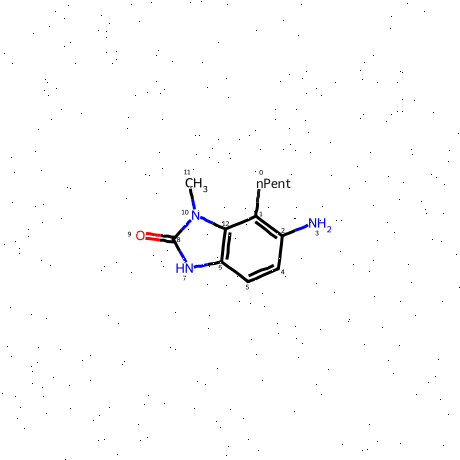 CCCCCc1c(N)ccc2[nH]c(=O)n(C)c12